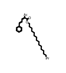 CC(=O)C(=CC=Cc1ccccc1)C(=O)OCCCCCCCCCCCCCCCC(C)C